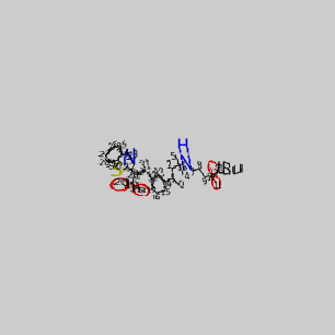 CC(CC(C)(C)NCCCC(=O)OC(C)(C)C)c1ccc2oc(=O)c(-c3nc4ccccc4s3)cc2c1